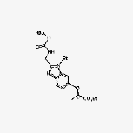 CCOC(=O)[C@@H](C)Oc1ccc2nc(CNC(=O)OC(C)(C)C)n(CC)c2c1